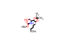 CCCCCCCCCCCCCC[C@H]1OC(C)(C)O[C@H]1[C@H](CO)NC(=O)OCCCC